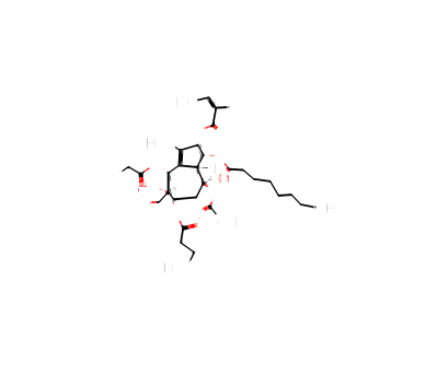 C/C=C(/C)C(=O)O[C@H]1C(C)=C2[C@H]([C@@H]1OC(=O)CCCCCCC)[C@@](C)(OC(C)=O)C[C@H](OC(=O)CCC)[C@](O)(CO)[C@H]2OC(=O)CC